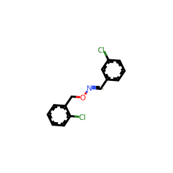 Clc1cccc([C]=NOCc2ccccc2Cl)c1